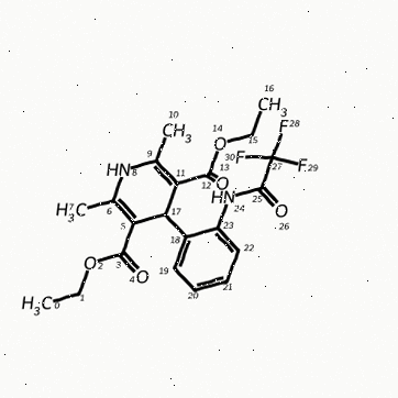 CCOC(=O)C1=C(C)NC(C)=C(C(=O)OCC)C1c1ccccc1NC(=O)C(F)(F)F